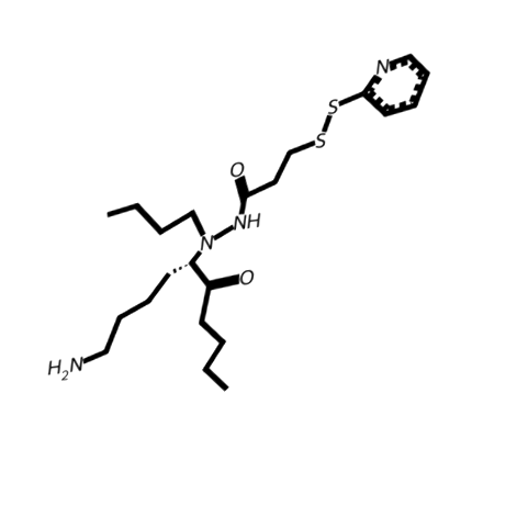 CCCCC(=O)[C@H](CCCCN)N(CCCC)NC(=O)CCSSc1ccccn1